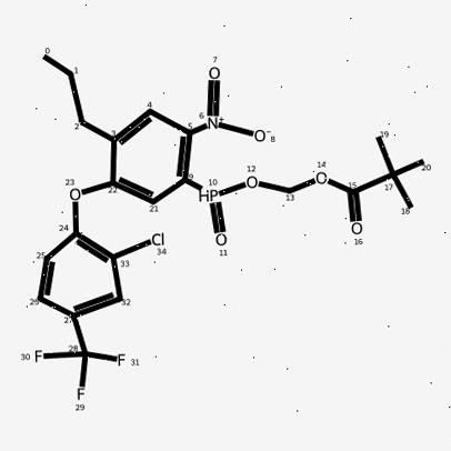 CCCc1cc([N+](=O)[O-])c([PH](=O)OCOC(=O)C(C)(C)C)cc1Oc1ccc(C(F)(F)F)cc1Cl